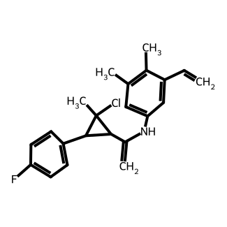 C=Cc1cc(NC(=C)C2C(c3ccc(F)cc3)C2(C)Cl)cc(C)c1C